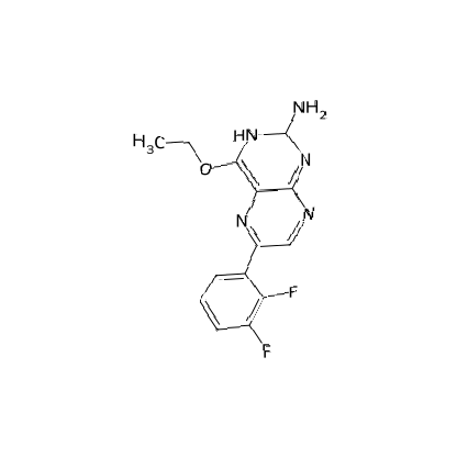 CCOC1=c2nc(-c3cccc(F)c3F)cnc2=NC(N)N1